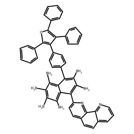 Bc1c(B)c(B)c2c(-c3ccc4ccc5cccnc5c4n3)c(B)c(B)c(-c3ccc(-c4c(-c5ccccc5)oc(-c5ccccc5)c4-c4ccccc4)cc3)c2c1B